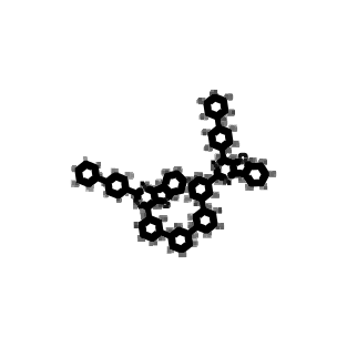 c1ccc(-c2ccc(-c3nc(-c4cccc(-c5cccc(-c6cccc(-c7cccc(-c8nc(-c9ccc(-c%10ccccc%10)cc9)c9oc%10ccccc%10c9n8)c7)c6)c5)c4)c4sc5ccccc5c4n3)cc2)cc1